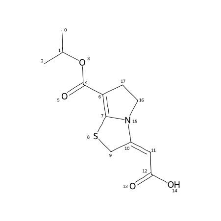 CC(C)OC(=O)C1=C2SCC(=CC(=O)O)N2CC1